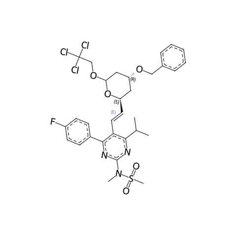 CC(C)c1nc(N(C)S(C)(=O)=O)nc(-c2ccc(F)cc2)c1/C=C/[C@@H]1C[C@@H](OCc2ccccc2)CC(OCC(Cl)(Cl)Cl)O1